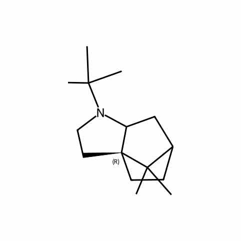 CC(C)(C)N1CC[C@@]23CCC(CC12)C3(C)C